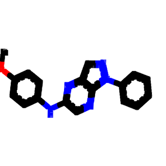 CCOc1ccc(Nc2cnc3c(cnn3-c3ccccc3)n2)cc1